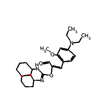 CCN(CC)c1ccc(/C=C(\C=O)O/C(=N/C2CCCCC2)NC2CCCCC2)c(OC)c1